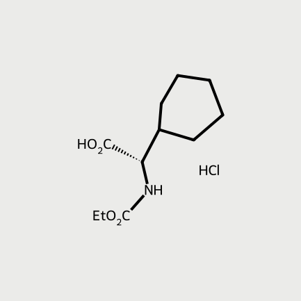 CCOC(=O)N[C@H](C(=O)O)C1CCCCC1.Cl